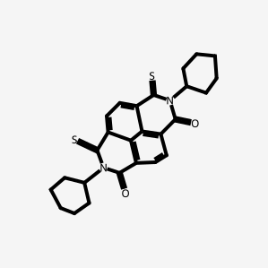 O=C1c2ccc3c4c(ccc(c24)C(=S)N1C1CCCCC1)C(=S)N(C1CCCCC1)C3=O